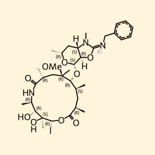 CO[C@]1(C)C[C@@H](C)C(=O)N[C@H](C)[C@@H](O)[C@](C)(O)[C@@H](I)OC(=O)[C@H](C)C[C@H](C)[C@H]1O[C@@H]1O[C@H](C)C[C@H]2[C@H]1O/C(=N/Cc1ccccc1)N2C